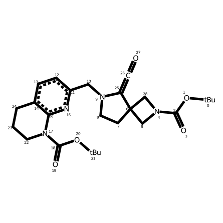 CC(C)(C)OC(=O)N1CC2(CCN(Cc3ccc4c(n3)N(C(=O)OC(C)(C)C)CCC4)C2=C=O)C1